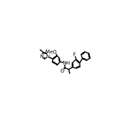 COc1cc(NC(=O)C(C)c2ccc(-c3ccccc3)c(F)c2)ccc1-n1cnc(C)c1